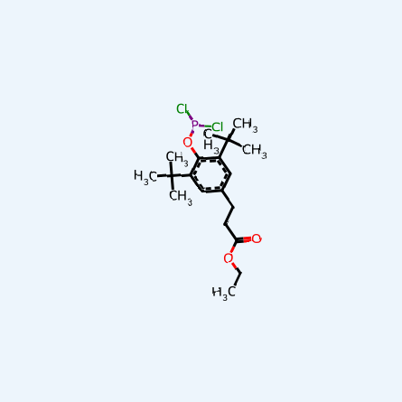 CCOC(=O)CCc1cc(C(C)(C)C)c(OP(Cl)Cl)c(C(C)(C)C)c1